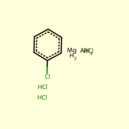 Cl.Cl.Cl.Clc1ccccc1.[AlH3].[MgH2]